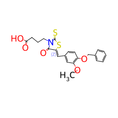 COc1cc(/C=C2\SC(=S)N(CCCC(=O)O)C2=O)ccc1OCc1ccccc1